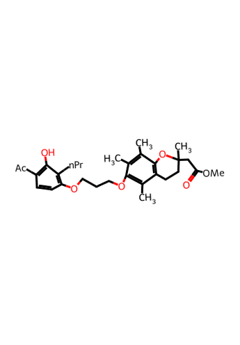 CCCc1c(OCCCOc2c(C)c(C)c3c(c2C)CCC(C)(CC(=O)OC)O3)ccc(C(C)=O)c1O